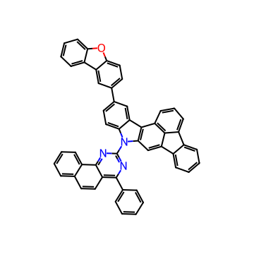 c1ccc(-c2nc(-n3c4ccc(-c5ccc6oc7ccccc7c6c5)cc4c4c5cccc6c5c(cc43)-c3ccccc3-6)nc3c2ccc2ccccc23)cc1